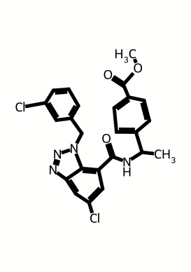 COC(=O)c1ccc(C(C)NC(=O)c2cc(Cl)cc3nnn(Cc4cccc(Cl)c4)c23)cc1